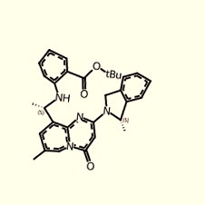 Cc1cc([C@H](C)Nc2ccccc2C(=O)OC(C)(C)C)c2nc(N3Cc4ccccc4[C@@H]3C)cc(=O)n2c1